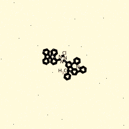 CC1(c2ccccc2)c2cc(-c3nc(Cl)nc(-c4cccc5c4-c4ccccc4C54c5ccccc5-c5ccccc54)n3)cc3c2-c2c1ccc1c4ccccc4n(c21)-c1ccccc1-3